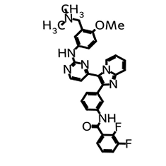 COc1ccc(Nc2nccc(-c3c(-c4cccc(NC(=O)c5cccc(F)c5F)c4)nc4ccccn34)n2)cc1CN(C)C